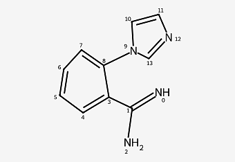 N=C(N)c1ccccc1-n1ccnc1